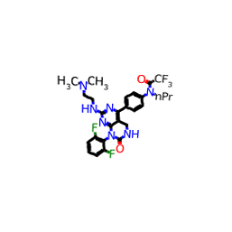 CCCN(C(=O)C(F)(F)F)c1ccc(-c2nc(NCCN(C)C)nc3c2CNC(=O)N3c2c(F)cccc2F)cc1